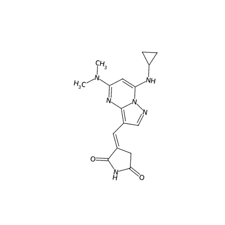 CN(C)c1cc(NC2CC2)n2ncc(/C=C3\CC(=O)NC3=O)c2n1